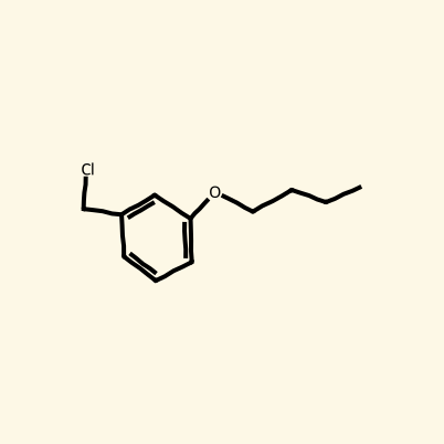 CCCCOc1cccc(CCl)c1